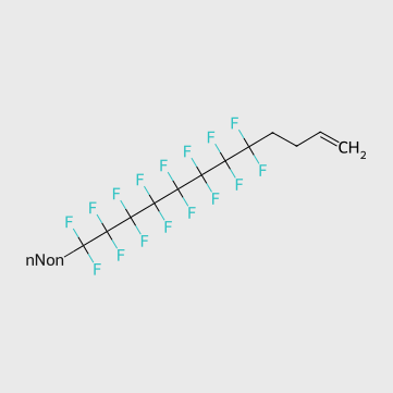 C=CCCC(F)(F)C(F)(F)C(F)(F)C(F)(F)C(F)(F)C(F)(F)C(F)(F)C(F)(F)CCCCCCCCC